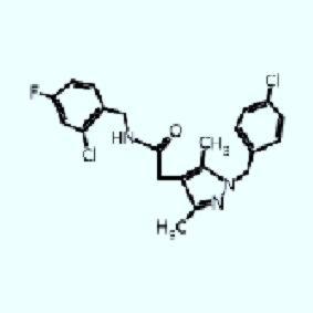 Cc1nn(Cc2ccc(Cl)cc2)c(C)c1CC(=O)NCc1ccc(F)cc1Cl